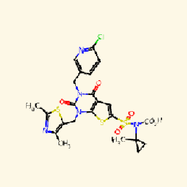 Cc1nc(C)c(Cn2c(=O)n(Cc3ccc(Cl)nc3)c(=O)c3cc(S(=O)(=O)N(C(=O)O)C4(C)CC4)sc32)s1